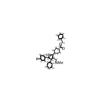 CNCc1c(C2CCN(C(=O)OCc3ccccc3)CC2)[nH]c(-c2ccc(F)cc2)c1-c1ccncc1